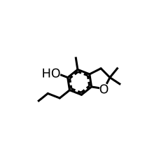 CCCc1cc2c(c(C)c1O)CC(C)(C)O2